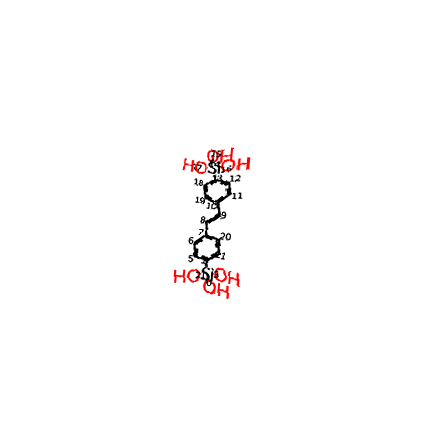 O[Si](O)(O)c1ccc(C=Cc2ccc([Si](O)(O)O)cc2)cc1